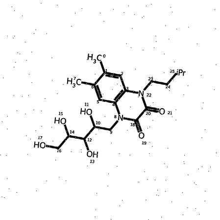 Cc1cc2c(cc1C)n(CC(O)C(O)C(O)CO)c(=O)c(=O)n2CCC(C)C